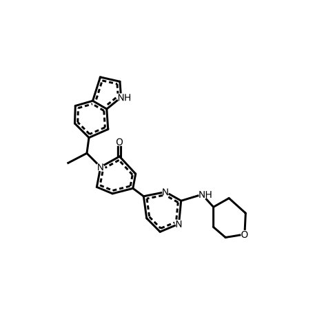 CC(c1ccc2cc[nH]c2c1)n1ccc(-c2ccnc(NC3CCOCC3)n2)cc1=O